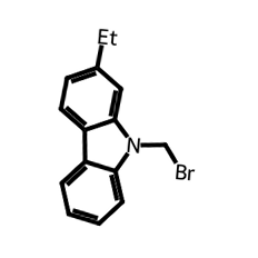 CCc1ccc2c3ccccc3n(CBr)c2c1